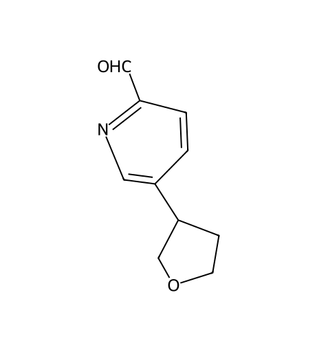 O=Cc1ccc(C2CCOC2)cn1